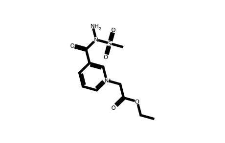 CCOC(=O)C[n+]1cccc(C(=O)N(N)S(C)(=O)=O)c1